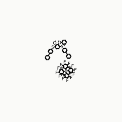 COc1cc([S+](c2ccc(-c3ccccc3)cc2)c2ccccc2OC)ccc1Sc1ccc(-c2ccccc2)cc1.Fc1c(F)c(F)c([B-](c2c(F)c(F)c(F)c(F)c2F)(c2c(F)c(F)c(F)c(F)c2F)c2c(F)c(F)c(F)c(F)c2F)c(F)c1F